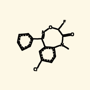 CN1C(=O)C(F)O/N=C(/c2ccccc2)c2cc(Cl)ccc21